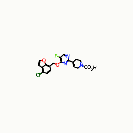 O=C(O)N1CC=C(c2ncc(F)c(OCc3ccc(Cl)c4ccoc34)n2)CC1